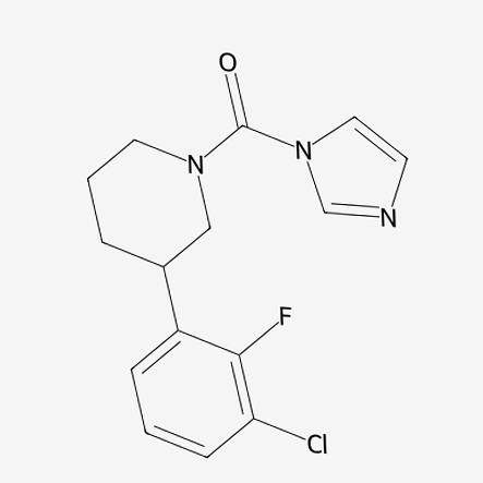 O=C(N1CCCC(c2cccc(Cl)c2F)C1)n1ccnc1